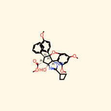 COC(=O)[C@@H]1[C@@H](c2ccccc2)[C@]2(c3ccc(OC)cc3)Oc3cc(OC)cc(OC)c3[C@@]23NC(C2CCC2)=N[C@@]13O